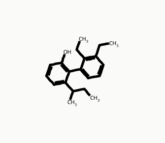 CCc1cccc(-c2c(O)cccc2C(C)CC)c1CC